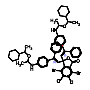 CC(Nc1ccc(/C(=C/C2(/C=C(\c3ccccc3)c3ccc(NC(C)OC(C)C4CCCCC4)cc3)OC(=O)c3c(Br)c(Cl)c(Cl)c(Br)c32)c2ccccc2)cc1)OC(C)C1CCCCC1